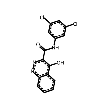 O=C(Nc1cc(Cl)cc(Cl)c1)c1nnc2ccccc2c1O